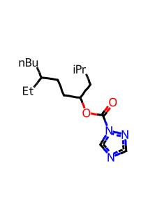 CCCCC(CC)CCC(CC(C)C)OC(=O)n1cncn1